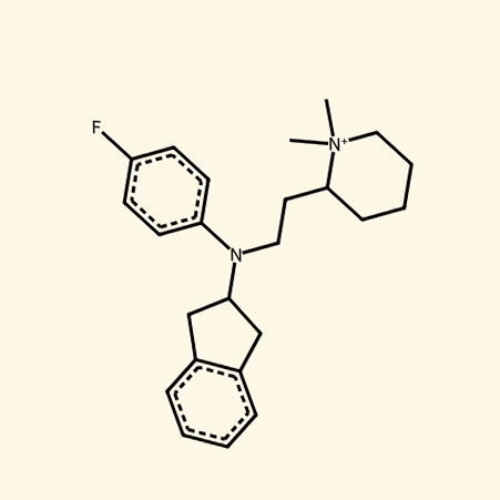 C[N+]1(C)CCCCC1CCN(c1ccc(F)cc1)C1Cc2ccccc2C1